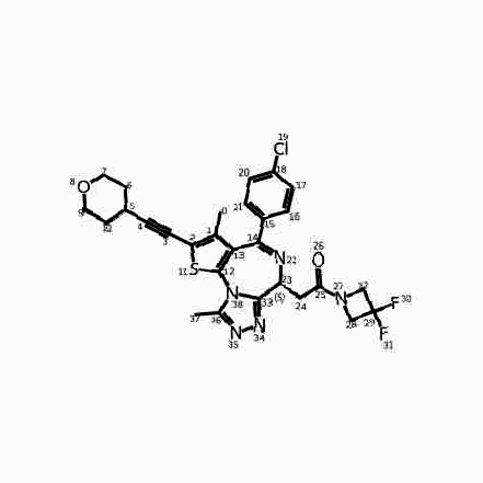 Cc1c(C#CC2CCOCC2)sc2c1C(c1ccc(Cl)cc1)=N[C@@H](CC(=O)N1CC(F)(F)C1)c1nnc(C)n1-2